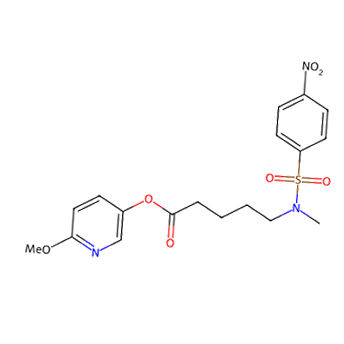 COc1ccc(OC(=O)CCCCN(C)S(=O)(=O)c2ccc([N+](=O)[O-])cc2)cn1